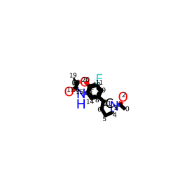 CC(=O)N1CCCC(c2cc(F)c3c(c2)NC(=O)[C@@H](C)O3)C1